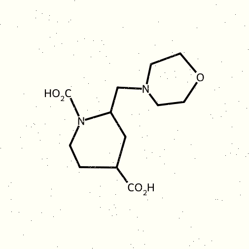 O=C(O)C1CCN(C(=O)O)C(CN2CCOCC2)C1